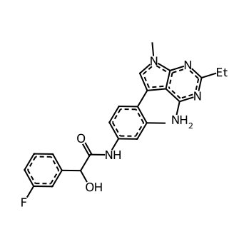 CCc1nc(N)c2c(-c3ccc(NC(=O)C(O)c4cccc(F)c4)cc3C)cn(C)c2n1